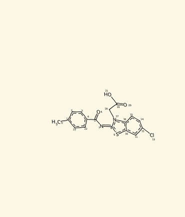 Cc1ccc(C(=O)N=c2sc3cc(Cl)ccc3n2CC(=O)O)cc1